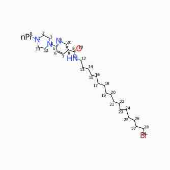 CCCN1CCN(c2ccc(C(=O)NCCCCCCCCCCCCCCCCCBr)cn2)CC1